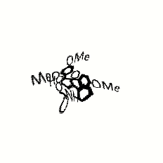 COc1ccc(C23Oc4cc(OC)cc(OC)c4C2(O)C2OCC(=O)NC2C3c2ccccc2)cc1